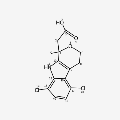 CC1(CC(=O)O)OCCc2c1[nH]c1c(Cl)ccc(Cl)c21